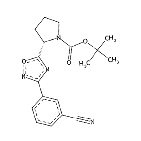 CC(C)(C)OC(=O)N1CCC[C@H]1c1nc(-c2cccc(C#N)c2)no1